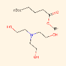 CCCCCCCCCCCCCC(=O)OC(C)C.OCCN(CCO)CCO